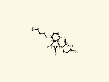 Cn1c(=O)n(C2CCC(=O)NC2=O)c2cccc(CCCCBr)c21